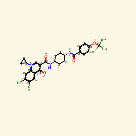 O=C(N[C@H]1CC[C@H](NC(=O)c2cn(C3CC3)c3cc(Cl)c(F)cc3c2=O)CC1)c1ccc(OC(F)(F)F)cc1